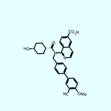 COc1ccc(-c2ccc(CN(c3nccc4cc(C(=O)O)ccc34)C(=O)[C@H]3CC[C@H](O)CC3)cc2)cc1C#N